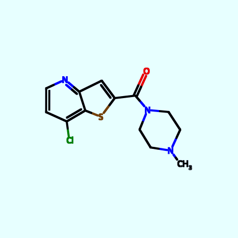 CN1CCN(C(=O)c2cc3nccc(Cl)c3s2)CC1